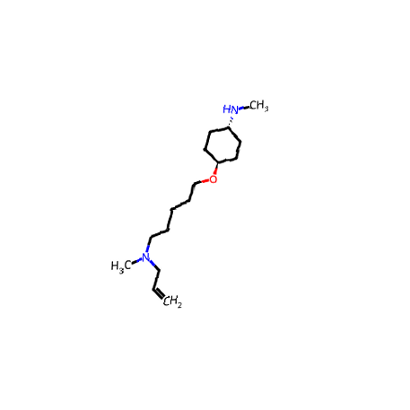 C=CCN(C)CCCCCO[C@H]1CC[C@H](NC)CC1